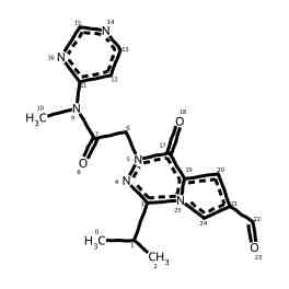 CC(C)c1nn(CC(=O)N(C)c2ccncn2)c(=O)c2cc(C=O)cn12